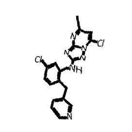 Cc1cc(Cl)n2nc(Nc3cc(Cl)ccc3Cc3cccnc3)nc2n1